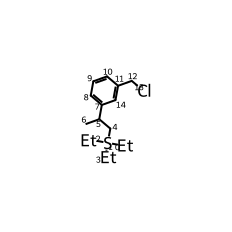 CCS(CC)(CC)CC(C)c1cccc(CCl)c1